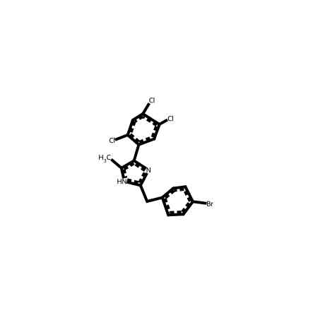 Cc1[nH]c(Cc2ccc(Br)cc2)nc1-c1cc(Cl)c(Cl)cc1Cl